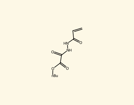 C=CC(=O)NNC(=O)C(=O)OCCCC